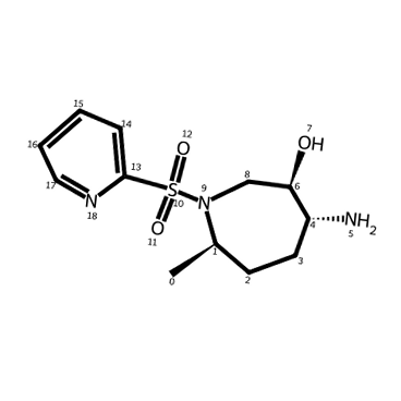 C[C@@H]1CC[C@@H](N)[C@H](O)CN1S(=O)(=O)c1ccccn1